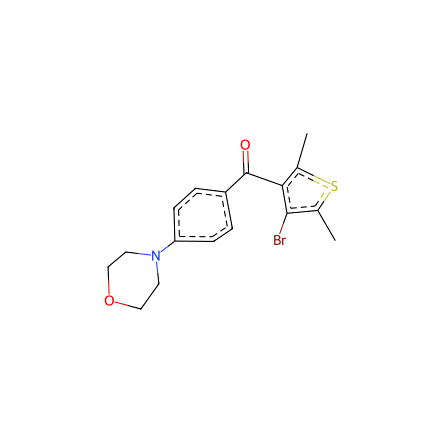 Cc1sc(C)c(C(=O)c2ccc(N3CCOCC3)cc2)c1Br